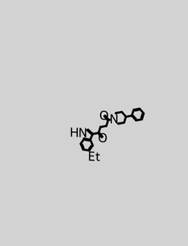 CCc1ccc2[nH]cc(C(=O)CCC(=O)N3CCC(c4ccccc4)CC3)c2c1